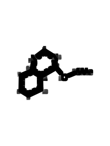 CSOc1ncnc2ccccc12